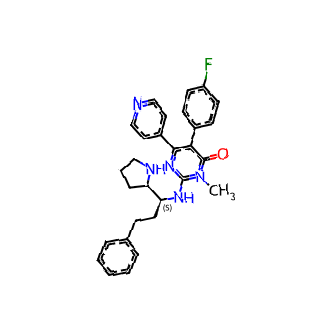 Cn1c(N[C@@H](CCc2ccccc2)C2CCCN2)nc(-c2ccncc2)c(-c2ccc(F)cc2)c1=O